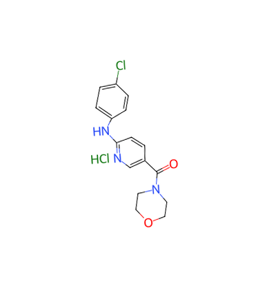 Cl.O=C(c1ccc(Nc2ccc(Cl)cc2)nc1)N1CCOCC1